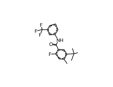 Cc1cc(F)c(C(=O)Nc2cccc(C(F)(F)F)c2)cc1C(C)(C)C